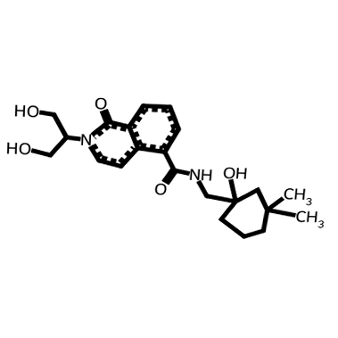 CC1(C)CCCC(O)(CNC(=O)c2cccc3c(=O)n(C(CO)CO)ccc23)C1